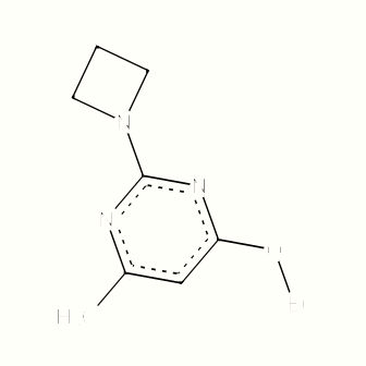 CCOc1cc(C)nc(N2CCC2)n1